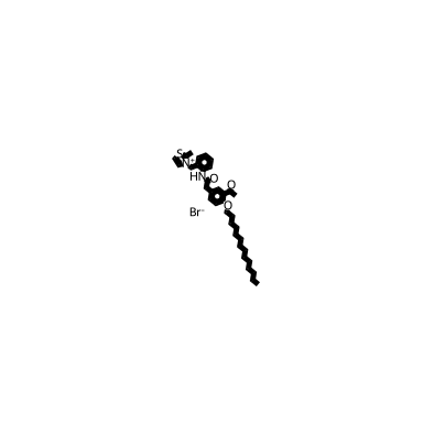 CCCCCCCCCCCCCCOc1ccc(CC(=O)Nc2ccccc2C[n+]2ccsc2C)cc1C(C)=O.[Br-]